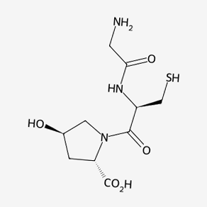 NCC(=O)N[C@@H](CS)C(=O)N1C[C@H](O)C[C@H]1C(=O)O